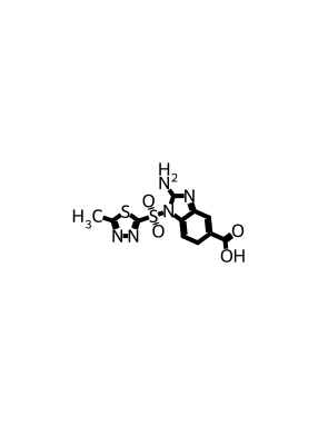 Cc1nnc(S(=O)(=O)N2C3=CCC(C(=O)O)=CC3=NC2N)s1